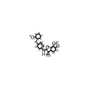 COc1ccccc1Cc1ccc(NC(=O)C2(c3ccc4c(c3)OCO4)CC2)nn1